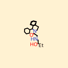 CCC(O)CNCC(=O)N1CCc2ccccc2C1C1CCCCC1